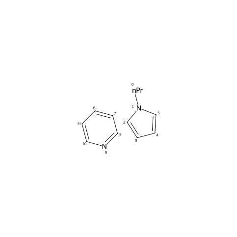 CCCn1cccc1.c1ccncc1